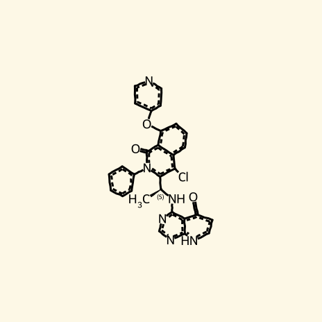 C[C@H](Nc1ncnc2[nH]ccc(=O)c12)c1c(Cl)c2cccc(Oc3ccncc3)c2c(=O)n1-c1ccccc1